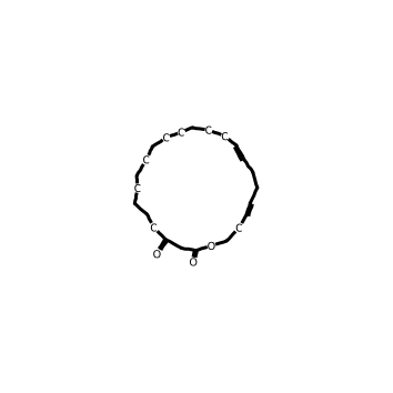 O=C1CCCCCCCCCCCC/C=C/CC/C=C/CCOC(=O)C1